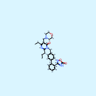 CCCc1nc(CC)c(CN2CCOCC2)c(=O)n1Cc1ccc(-c2ccccc2-c2noc(=O)[nH]2)cc1